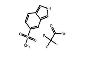 CS(=O)(=O)c1ccc2c[nH]cc2c1.O=C(O)C(F)(F)F